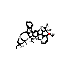 CCC1(O)C[C@H]2C[N@](CCc3c([nH]c4ccccc34)[C@@](C(=O)OC)(c3cc4c(cc3OC)N(C)C3[C@]45CCN4CC=C[C@](CC)(C45)[C@@H](O)[C@]3(O)C(=O)OC)C2)C1